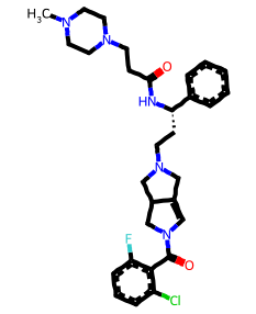 CN1CCN(CCC(=O)N[C@@H](CCN2CC3=CN(C(=O)c4c(F)cccc4Cl)CC3C2)c2ccccc2)CC1